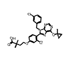 CC1(Oc2ncnc3c2nc(-c2ccc(OCCC(C)(C)C(=O)O)cc2Cl)n3Cc2cccc(Cl)c2)CC1